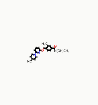 Cc1cc(C(=O)N(C)O)ccc1COc1cccc(N2CCB(C#N)CC2)n1